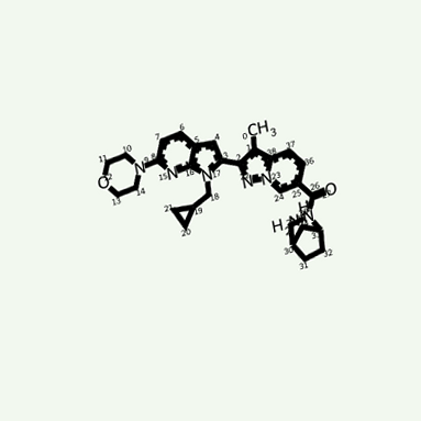 Cc1c(-c2cc3ccc(N4CCOCC4)nc3n2CC2CC2)nn2cc(C(=O)N3CC4CCC3[C@@H]4N)ccc12